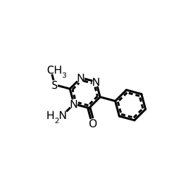 CSc1nnc(-c2ccccc2)c(=O)n1N